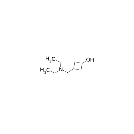 CCN(CC)CC1CC(O)C1